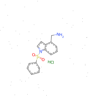 Cl.NCc1cccc2c1ccn2S(=O)(=O)c1ccccc1